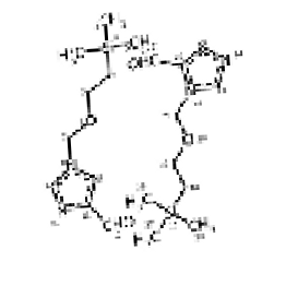 C[Si](C)(C)CCOCn1cnc(C=O)c1.C[Si](C)(C)CCOCn1cncc1C=O